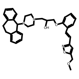 COCc1cc(C=Cc2ccccc2OCC(O)CN2CCN(C3c4ccccc4CCc4ccccc43)CC2)no1